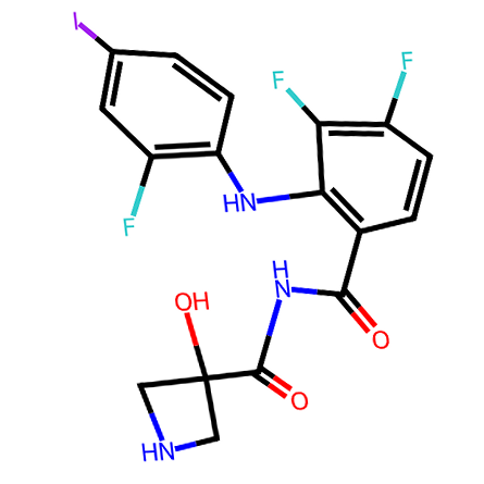 O=C(NC(=O)C1(O)CNC1)c1ccc(F)c(F)c1Nc1ccc(I)cc1F